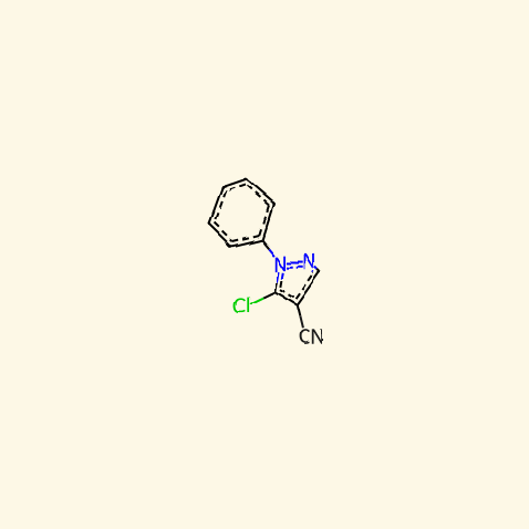 N#Cc1cnn(-c2ccccc2)c1Cl